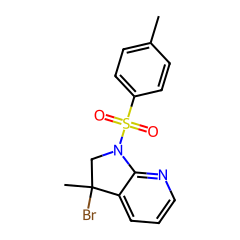 Cc1ccc(S(=O)(=O)N2CC(C)(Br)c3cccnc32)cc1